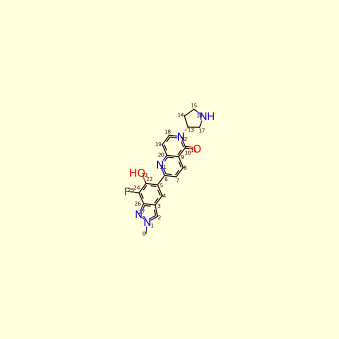 Cn1cc2cc(-c3ccc4c(=O)n([C@@H]5CCNC5)ccc4n3)c(O)c(F)c2n1